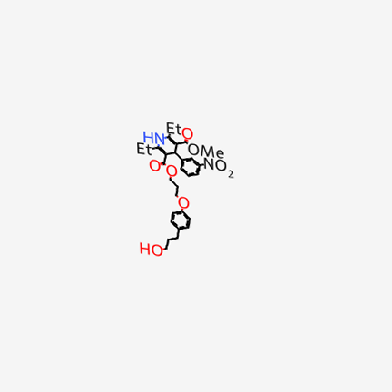 CCC1=C(C(=O)OC)C(c2cccc([N+](=O)[O-])c2)C(C(=O)OCCCOc2ccc(CCCO)cc2)=C(CC)N1